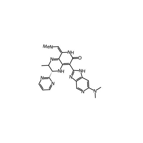 CN/C=c1/[nH]c(=O)c(-c2nc3cnc(N(C)C)cc3[nH]2)c2c1=NC(C)[C@@H](c1ncccn1)N2